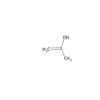 C=C(C)O